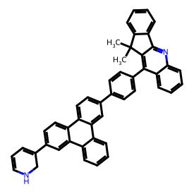 CC1(C)c2ccccc2-c2nc3ccccc3c(-c3ccc(-c4ccc5c6ccc(C7=CC=CNC7)cc6c6ccccc6c5c4)cc3)c21